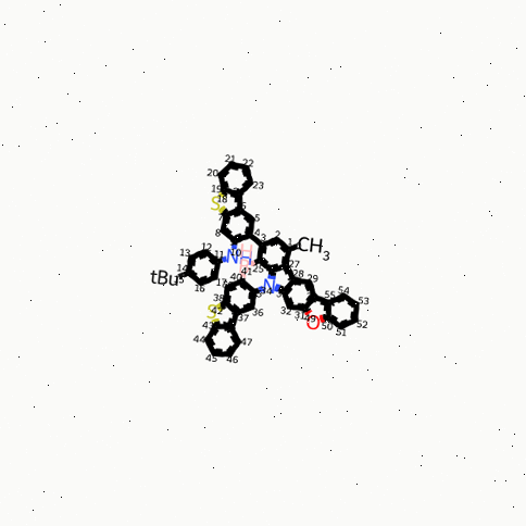 Cc1cc(-c2cc3c(cc2Nc2ccc(C(C)(C)C)cc2)sc2ccccc23)c2c3c1c1cc4c(cc1n3-c1cc3c(cc1B2)sc1ccccc13)oc1ccccc14